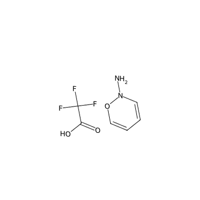 NN1C=CC=CO1.O=C(O)C(F)(F)F